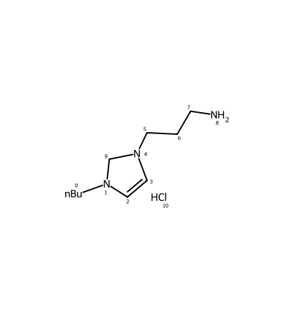 CCCCN1C=CN(CCCN)C1.Cl